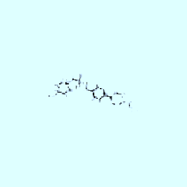 C=CC1CCC(c2ccc(COC(F)(F)Cc3ccc(C#N)cc3)cc2)CC1